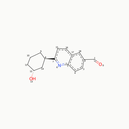 O=Cc1ccc2nc([C@@H]3CCC[C@@H](O)C3)ccc2c1